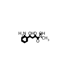 CN(O)C(=O)C(=O)CC(O)c1ccccc1N